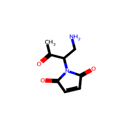 CC(=O)C(CN)N1C(=O)C=CC1=O